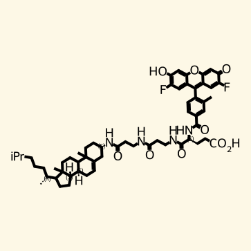 Cc1cc(C(=O)N[C@@H](CCC(=O)O)C(=O)NCCC(=O)NCCC(=O)N[C@H]2CCC3(C)C(=CC[C@@H]4C3CCC3(C)C([C@H](C)CCCC(C)C)CC[C@@H]43)C2)ccc1-c1c2cc(F)c(=O)cc-2oc2cc(O)c(F)cc12